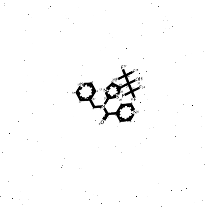 O=C(c1ccncc1)N(Cc1ccncc1)c1ncc(C(O)(C(F)(F)F)C(F)(F)F)s1